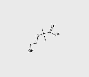 C=CC(=O)C(C)(C)OCCO